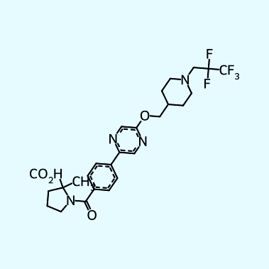 CC1(C(=O)O)CCCN1C(=O)c1ccc(-c2cnc(OCC3CCN(CC(F)(F)C(F)(F)F)CC3)cn2)cc1